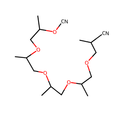 CC(C#N)COCC(C)OCC(C)OCC(C)OCC(C)OC#N